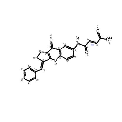 O=C(O)/C=C/C(=O)Nc1ccc2oc3c(c(=O)c2c1)CCC3=Cc1ccccc1